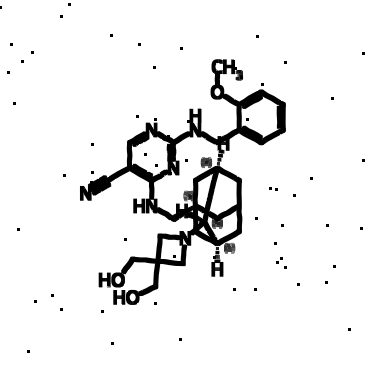 COc1ccccc1CNc1ncc(C#N)c(NC[C@]23CC4C[C@H](C2)[C@@H](N2CC(CO)(CO)C2)[C@@H](C4)C3)n1